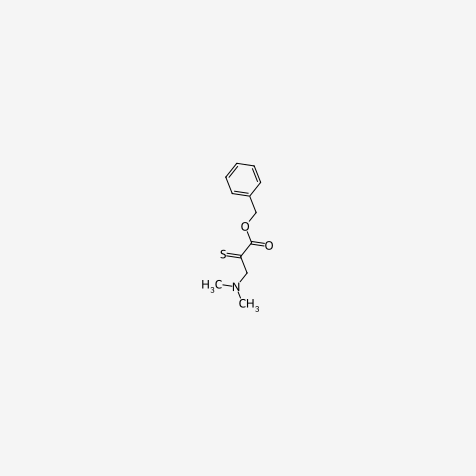 CN(C)CC(=S)C(=O)OCc1ccccc1